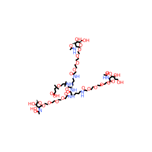 CC(=O)/N=C1\C(O)[C@@H](O)[C@@H](C)O[C@H]1OCCOCCOCCOCC(=O)N[C@@H](CCCCNC(=O)COCCOCCOCCO[C@@H]1OC(CO)[C@H](O)[C@H](O)C1NC(C)=O)C(=O)N[C@@H](CCCCNC(=O)COCCOCCOCCO[C@@H]1O[C@H](CO)[C@H](O)[C@H](C)C1NC(C)=O)C(=O)NC(C)(C)CCOC(C)(C)CCC(=O)O